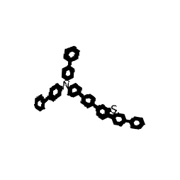 c1ccc(-c2ccc(N(c3ccc(-c4ccccc4)cc3)c3ccc(-c4ccc(-c5ccc6c(c5)sc5cc(-c7ccccc7)ccc56)cc4)cc3)cc2)cc1